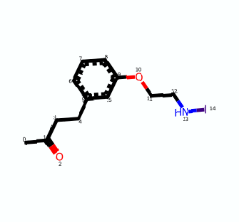 CC(=O)CCc1cccc(OCCNI)c1